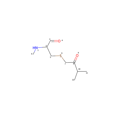 CNC(C=O)CSCC(=O)C(C)C